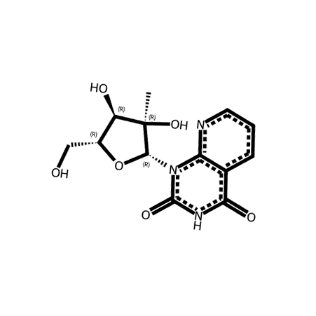 C[C@@]1(O)[C@H](O)[C@@H](CO)O[C@H]1n1c(=O)[nH]c(=O)c2cccnc21